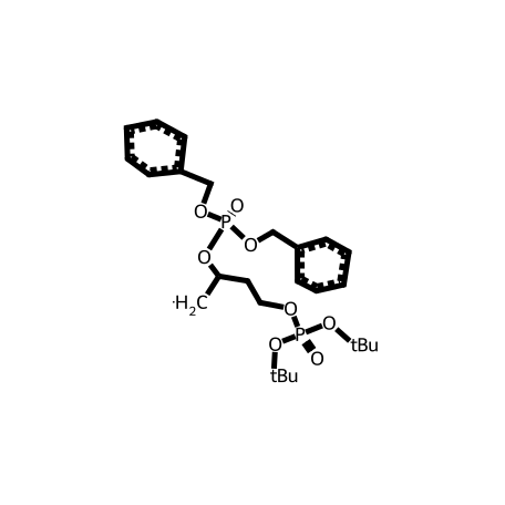 [CH2]C(CCOP(=O)(OC(C)(C)C)OC(C)(C)C)OP(=O)(OCc1ccccc1)OCc1ccccc1